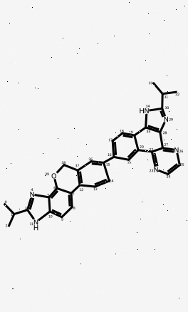 CC(C)c1nc2c3c(ccc2[nH]1)-c1ccc(-c2ccc4c(c2)c2nccnc2c2nc(C(C)C)[nH]c42)cc1CO3